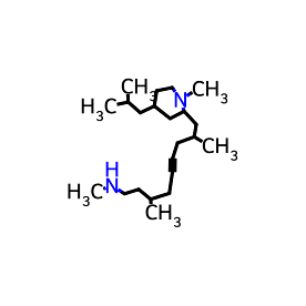 CNCCC(C)CC#CCC(C)CC1CC(CC(C)C)CCN1C